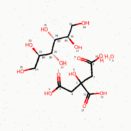 O.O=C(O)CC(O)(CC(=O)O)C(=O)O.OC[C@@H](O)[C@@H](O)[C@H](O)[C@H](O)CO